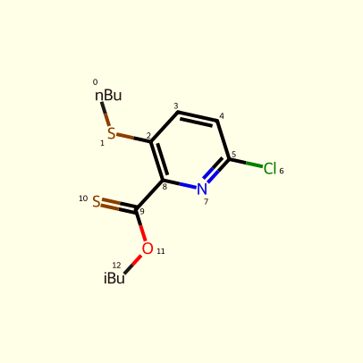 CCCCSc1ccc(Cl)nc1C(=S)OC(C)CC